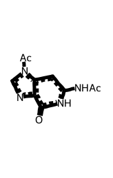 CC(=O)Nc1cc2c(ncn2C(C)=O)c(=O)[nH]1